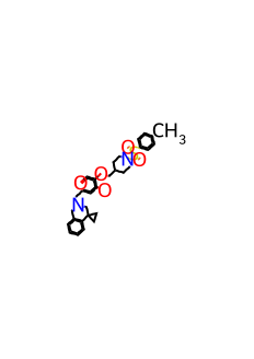 Cc1ccc(S(=O)(=O)N2CCC(COc3coc(CN4Cc5ccccc5C5(CC5)C4)cc3=O)CC2)cc1